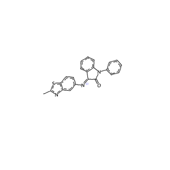 Cc1nc2cc(/N=C3/C(=O)N(c4ccccc4)c4ccccc43)ccc2s1